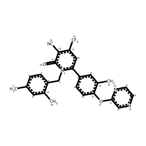 Cc1ccc(Cn2c(-c3ccc(Oc4cnccn4)c(C)c3)cc(C(F)(F)F)c(C#N)c2=O)c(C)c1